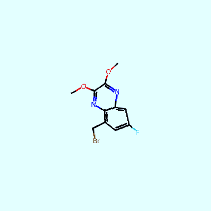 COc1nc2cc(F)cc(CBr)c2nc1OC